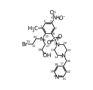 Cc1cc([N+](=O)[O-])cc(S(=O)(=O)N2CCN(Cc3ccncc3)CC2)c1N(CCO)CCBr